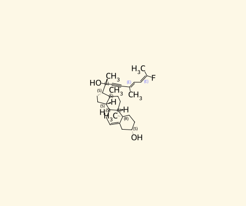 C/C(F)=C\C=C(/C)C#C[C@@](C)(O)[C@H]1CC[C@H]2[C@@H]3CC=C4C[C@@H](O)CC[C@]4(C)[C@H]3CC[C@@]21C